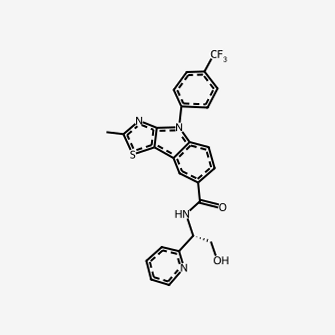 Cc1nc2c(s1)c1cc(C(=O)N[C@H](CO)c3ccccn3)ccc1n2-c1ccc(C(F)(F)F)cc1